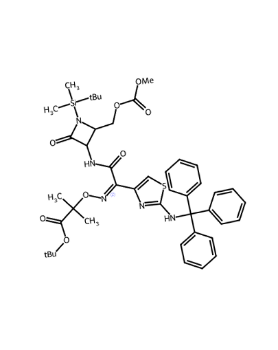 COC(=O)OCC1C(NC(=O)/C(=N\OC(C)(C)C(=O)OC(C)(C)C)c2csc(NC(c3ccccc3)(c3ccccc3)c3ccccc3)n2)C(=O)N1[Si](C)(C)C(C)(C)C